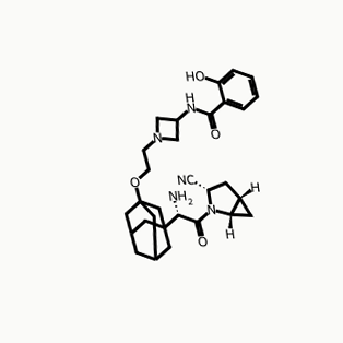 N#C[C@@H]1C[C@@H]2C[C@@H]2N1C(=O)[C@@H](N)C12CC3CC(CC(OCCN4CC(NC(=O)c5ccccc5O)C4)(C3)C1)C2